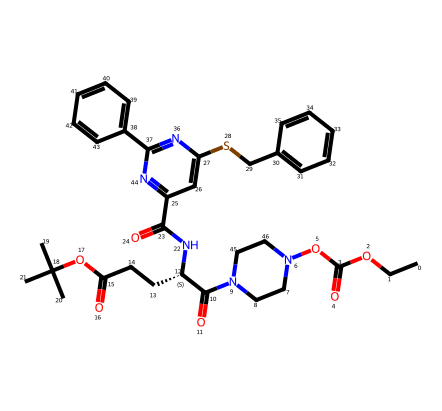 CCOC(=O)ON1CCN(C(=O)[C@H](CCC(=O)OC(C)(C)C)NC(=O)c2cc(SCc3ccccc3)nc(-c3ccccc3)n2)CC1